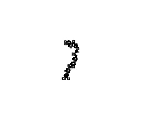 CCN(CC1CCN(c2ccc(NC(=O)N3C[C@H](C)N(c4ccc(C#N)c(Cl)c4)C[C@H]3C)cn2)CC1)C1CC(Oc2ccc3c(c2)C(=O)N([C@@H]2CCC(=O)NC2=O)C3=O)C1